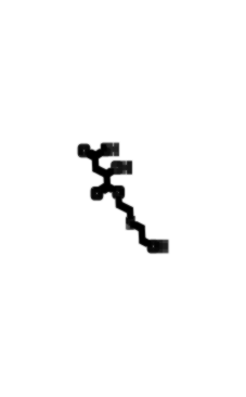 O=C(S)CC(O)C(=O)OCCSCCO